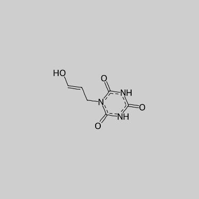 O=c1[nH]c(=O)n(CC=CO)c(=O)[nH]1